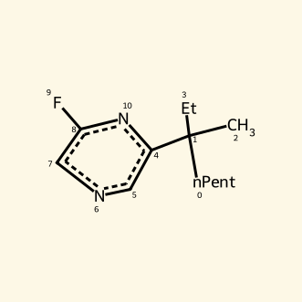 CCCCCC(C)(CC)c1cncc(F)n1